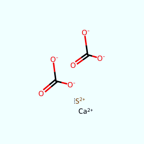 O=C([O-])[O-].O=C([O-])[O-].[Ca+2].[S+2]